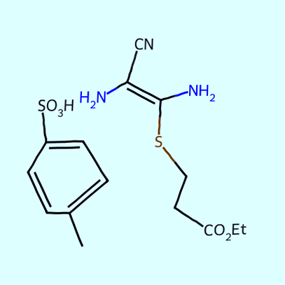 CCOC(=O)CCSC(N)=C(N)C#N.Cc1ccc(S(=O)(=O)O)cc1